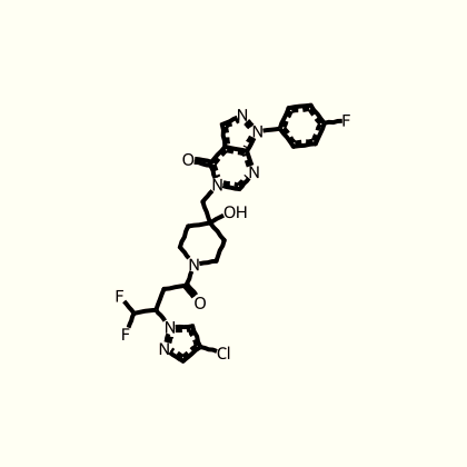 O=C(CC(C(F)F)n1cc(Cl)cn1)N1CCC(O)(Cn2cnc3c(cnn3-c3ccc(F)cc3)c2=O)CC1